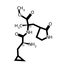 COC(=O)[C@](C)(CC1CCNC1=O)NC(=O)[C@@H](N)CC1CC1